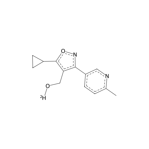 [2H]OCc1c(-c2ccc(C)nc2)noc1C1CC1